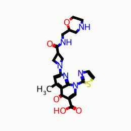 Cc1cc(N2CC(C(=O)NCC3CNCCO3)C2)nc2c1c(=O)c(C(=O)O)cn2-c1nccs1